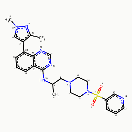 CC(CN1CCN(S(=O)(=O)c2cccnc2)CC1)Nc1ncnc2c(-c3cn(C)nc3C(F)(F)F)cccc12